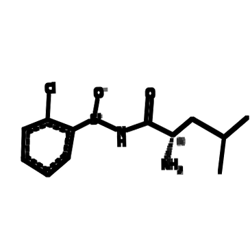 CC(C)C[C@H](N)C(=O)N[S+]([O-])c1ccccc1Cl